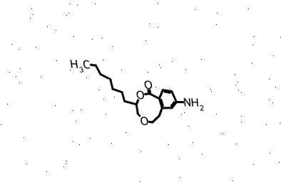 CCCCCCCC1COCCc2cc(N)ccc2C(=O)O1